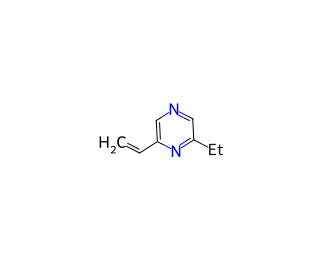 C=Cc1cncc(CC)n1